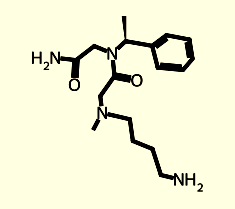 C[C@@H](c1ccccc1)N(CC(N)=O)C(=O)CN(C)CCCCN